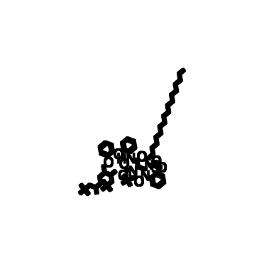 CCCCCCCCCCCCCCCCCCN1C(C(C(=O)Nc2ccccc2Oc2ccccc2OCC(CCC(C)CC(C)(C)C)C(C)CC(C)(C)C)N2C(=O)OC(C)(C)C2=O)=Nc2ccccc2S1(=O)=O